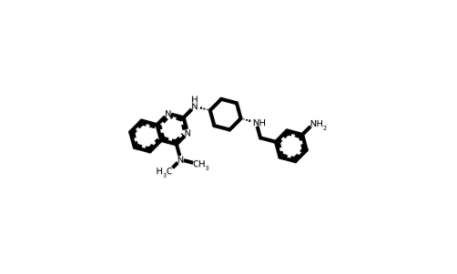 CN(C)c1nc(N[C@H]2CC[C@@H](NCc3cccc(N)c3)CC2)nc2ccccc12